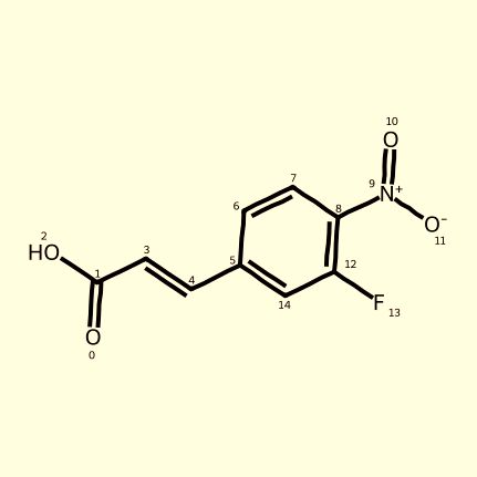 O=C(O)C=Cc1ccc([N+](=O)[O-])c(F)c1